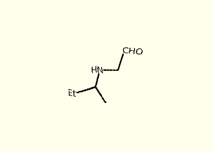 CCC(C)NCC=O